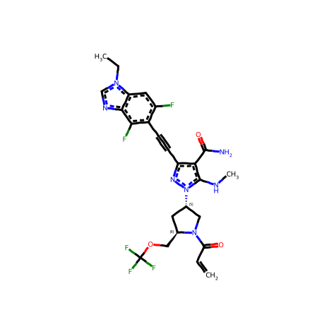 C=CC(=O)N1C[C@@H](n2nc(C#Cc3c(F)cc4c(ncn4CC)c3F)c(C(N)=O)c2NC)C[C@@H]1COC(F)(F)F